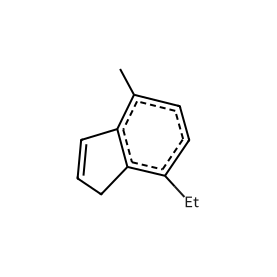 CCc1ccc(C)c2c1CC=C2